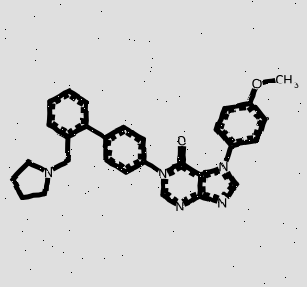 COc1ccc(-n2cnc3ncn(-c4ccc(-c5ccccc5CN5CCCC5)cc4)c(=O)c32)cc1